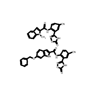 Cn1c(C(=O)Nc2ccc(C#N)cc2-c2noc(=O)[nH]2)cc2ccccc21.N#Cc1ccc(NC(=O)c2cc3ccc(OCc4ccccc4)cc3[nH]2)c(-c2noc(=O)[nH]2)c1